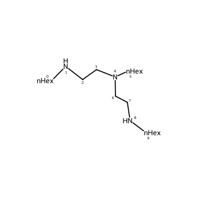 CCCCCCNCCN(CCCCCC)CCNCCCCCC